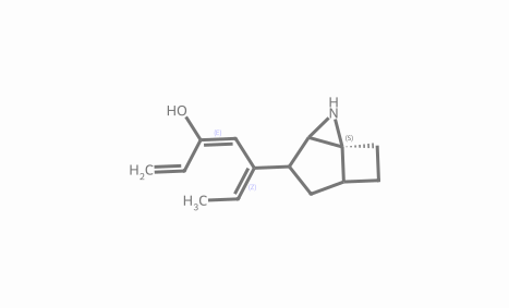 C=C/C(O)=C\C(=C/C)C1CC2CC[C@]23NC13